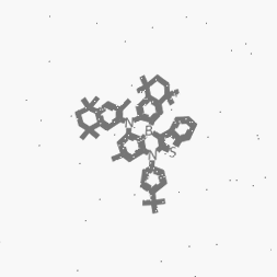 Cc1cc2c3c(c1)N(c1ccc(C(C)(C)C)cc1)c1sc4ccccc4c1B3c1cc3c(cc1N2c1cc2c(cc1C)C(C)(C)CCC2(C)C)C(C)(C)CCC3(C)C